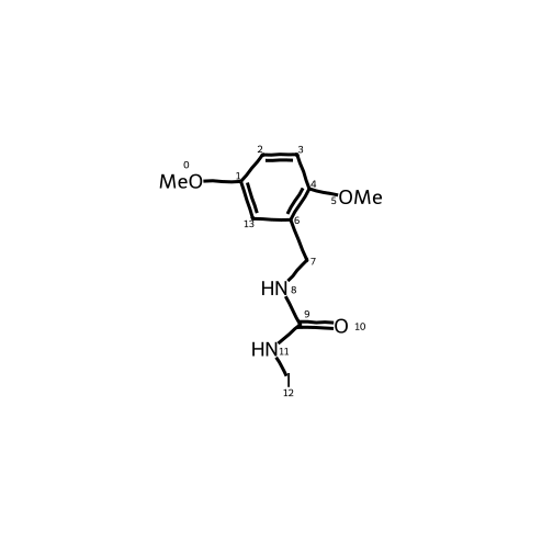 COc1ccc(OC)c(CNC(=O)NI)c1